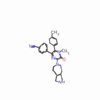 CC1=CC=C(c2c(-c3ccc(C#N)cc3)nc(N3CCC4CNCC4CC3)c(=O)n2C)CC1